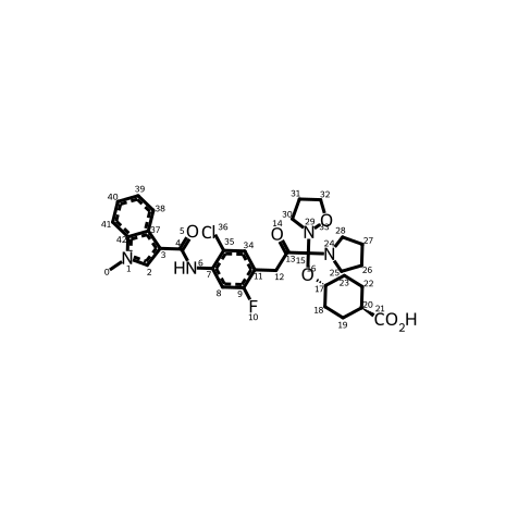 Cn1cc(C(=O)Nc2cc(F)c(CC(=O)C(O[C@H]3CC[C@H](C(=O)O)CC3)(N3CCCC3)N3CCCO3)cc2Cl)c2ccccc21